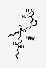 CCCCNC(=O)OCCN(CCCC)C(=O)OCCN1C=C(C(N)CN)C=CC1.Cl.Cl.Cl